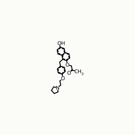 CC(=O)COc1ccc2cc(O)ccc2c1Cc1ccc(OCCN2CCCC2)cc1